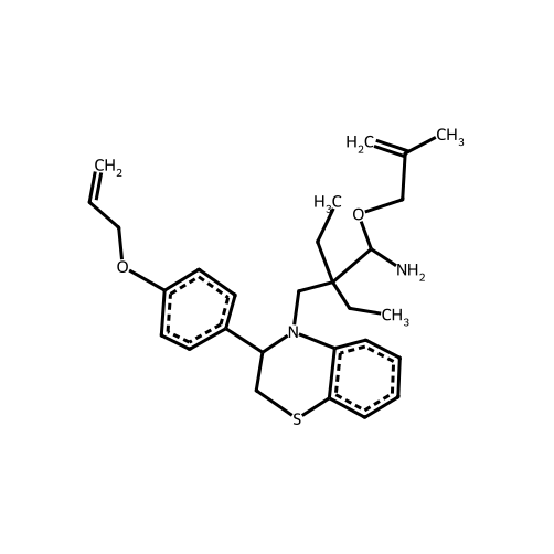 C=CCOc1ccc(C2CSc3ccccc3N2CC(CC)(CC)C(N)OCC(=C)C)cc1